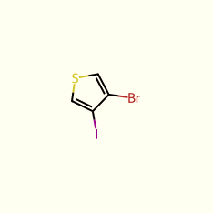 Brc1cscc1I